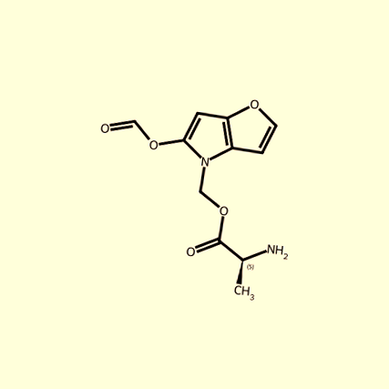 C[C@H](N)C(=O)OCn1c(OC=O)cc2occc21